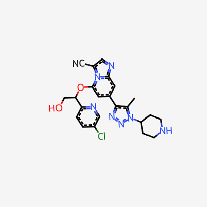 Cc1c(-c2cc(OC(CO)c3ccc(Cl)cn3)n3c(C#N)cnc3c2)nnn1C1CCNCC1